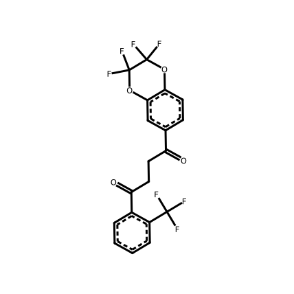 O=C(CCC(=O)c1ccccc1C(F)(F)F)c1ccc2c(c1)OC(F)(F)C(F)(F)O2